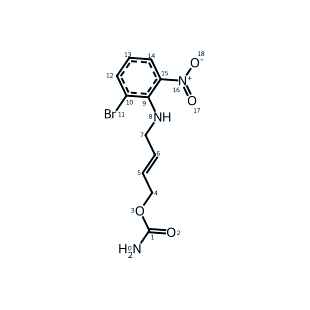 NC(=O)OCC=CCNc1c(Br)cccc1[N+](=O)[O-]